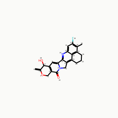 C=C1OCc2c(cc3n(c2=O)Cc2c-3nc3cc(F)c(C)c4c3c2CCC4)C1O